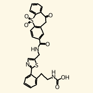 O=C(O)NCCc1ccccc1-c1ncc(CNC(=O)c2ccc3c(c2)CC(=O)c2ccccc2S3(=O)=O)s1